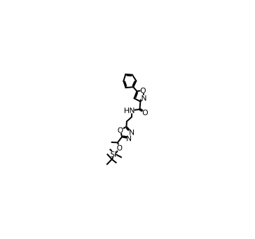 CC(O[Si](C)(C)C(C)(C)C)c1nnc(CCNC(=O)c2cc(-c3ccccc3)on2)o1